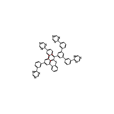 c1cc(-c2cc(-c3cccc(-c4ncncn4)c3)cc(-c3ccccc3Sc3ccccc3-c3cc(-c4cccc(-c5ncncn5)c4)cc(-c4cccc(-c5ncncn5)c4)c3)c2)cc(-c2ncncn2)c1